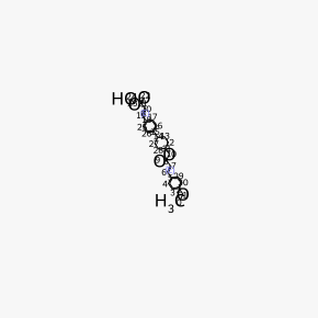 COc1ccc(/C=C/C(=O)OC2CCC(c3ccc(/C=C/C(=O)OO)cc3)CC2)cc1